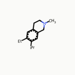 CCc1cc2c(cc1C(C)C)CN(C)CC2